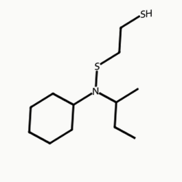 CCC(C)N(SCCS)C1CCCCC1